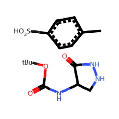 CC(C)(C)OC(=O)NC1CNNC1=O.Cc1ccc(S(=O)(=O)O)cc1